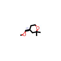 CO/C=C1/CCOC(C)(C)C1